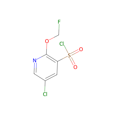 O=S(=O)(Cl)c1cc(Cl)cnc1OCF